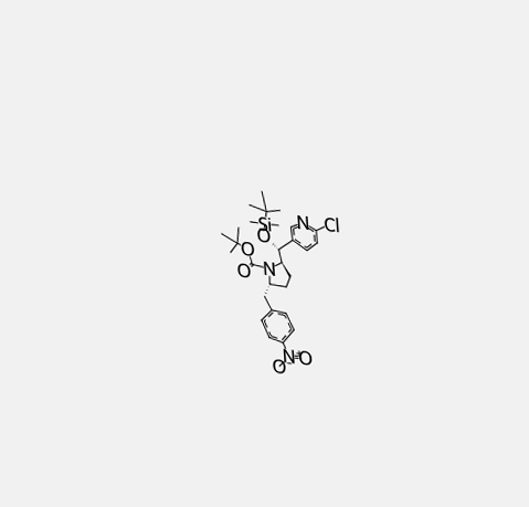 CC(C)(C)OC(=O)N1[C@@H](Cc2ccc([N+](=O)[O-])cc2)CC[C@@H]1[C@H](O[Si](C)(C)C(C)(C)C)c1ccc(Cl)nc1